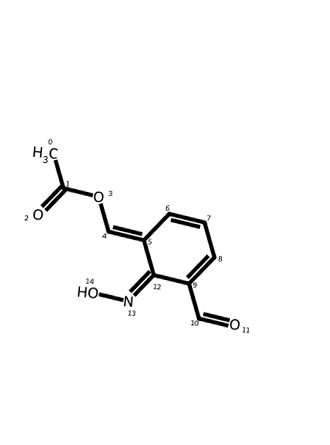 CC(=O)O/C=C1\C=CC=C(C=O)\C1=N\O